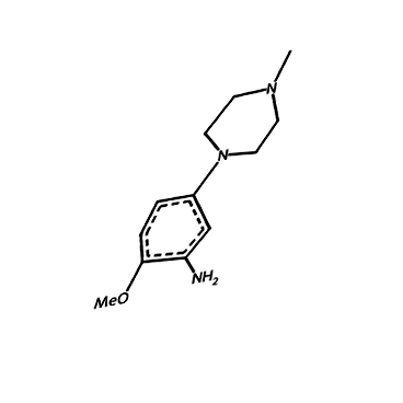 COc1ccc(N2CCN(C)CC2)cc1N